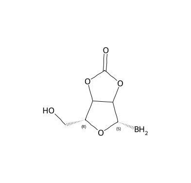 B[C@@H]1O[C@H](CO)C2OC(=O)OC21